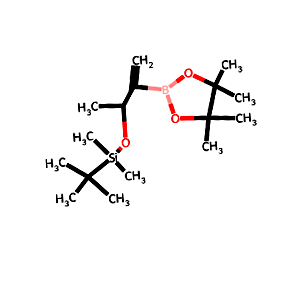 C=C(B1OC(C)(C)C(C)(C)O1)C(C)O[Si](C)(C)C(C)(C)C